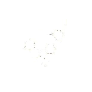 O=C(Nc1ccc(F)cc1)C1(c2ccc(-c3cnc(C(F)(F)F)cc3CO)cc2)CC(F)(F)C1